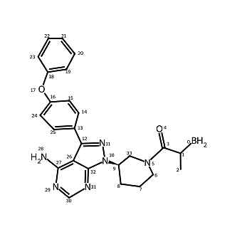 BC(C)C(=O)N1CCC[C@@H](n2nc(-c3ccc(Oc4ccccc4)cc3)c3c(N)ncnc32)C1